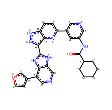 O=C(Nc1cncc(-c2ccc3[nH]nc(-c4nc5c(-c6ccoc6)cncc5[nH]4)c3n2)c1)C1CCCCC1